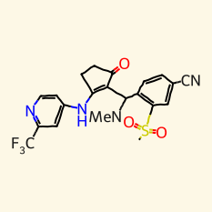 CNC(C1=C(Nc2ccnc(C(F)(F)F)c2)CCC1=O)c1ccc(C#N)cc1S(C)(=O)=O